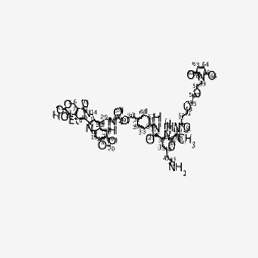 CC[C@@]1(O)C(=O)OCc2c1cc1n(c2=O)Cc2c-1nc1cc3c(cc1c2CNC(=O)OCc1ccc(NC(=O)C(CCCCN)NC(=O)[C@H](C)NC(=O)CCOCCOCCN2C(=O)C=CC2=O)cc1)OCO3